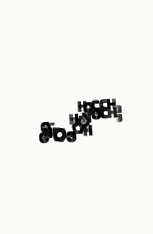 CC(C)(C)OC(=O)N1C[C@H]2CC(Oc3ccc([N+](=O)[O-])cc3)C[C@H]2C1